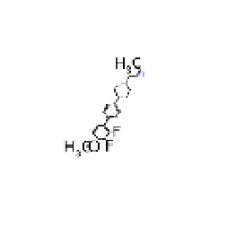 C/C=C\CC1CCC(c2ccc(-c3ccc(OC)c(F)c3F)cc2)CC1